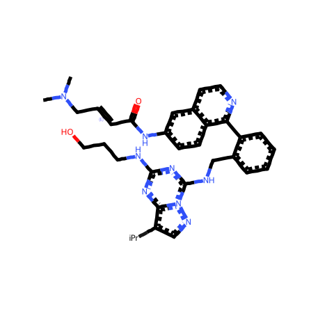 CC(C)c1cnn2c(NCc3ccccc3-c3nccc4cc(NC(=O)/C=C/CN(C)C)ccc34)nc(NCCCO)nc12